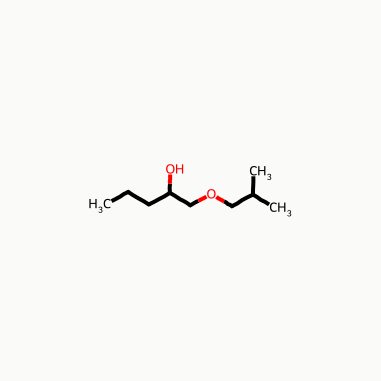 CCCC(O)COCC(C)C